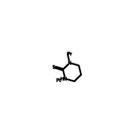 CC(C)N1CCCNC1=S.[Pt]